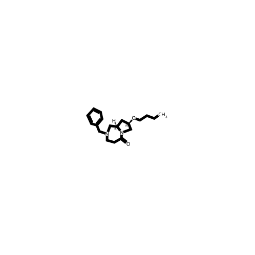 CCCCO[C@@H]1C[C@@H]2CN(Cc3ccccc3)CCC(=O)N2C1